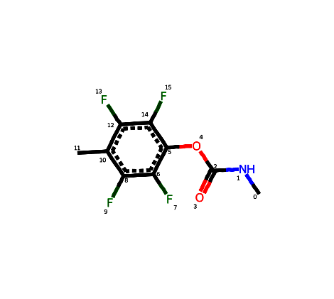 CNC(=O)Oc1c(F)c(F)c(C)c(F)c1F